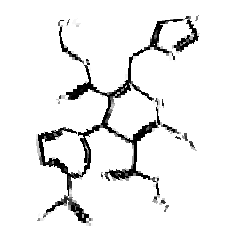 CCOC(=O)C1=C(Cc2c[nH]cn2)NC(C)=C(C(=O)OC)C1c1cccc([N+](=O)[O-])c1